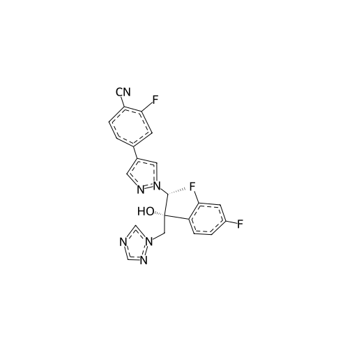 C[C@@H](n1cc(-c2ccc(C#N)c(F)c2)cn1)[C@](O)(Cn1cncn1)c1ccc(F)cc1F